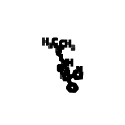 CCN(CC)CCCNC(=O)Cn1ncc(-c2ccccc2)c1-c1cccnc1